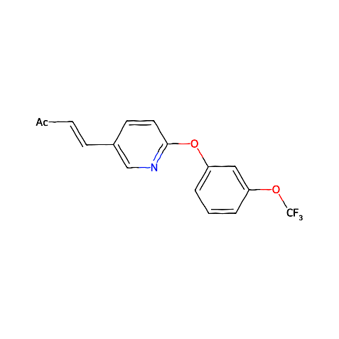 CC(=O)/C=C/c1ccc(Oc2cccc(OC(F)(F)F)c2)nc1